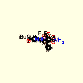 CC(C)COC(=O)C1CCN(CC[C@H](CSc2ccccc2)Nc2ccc(S(N)(=O)=O)cc2S(=O)(=O)C(F)(F)F)CC1